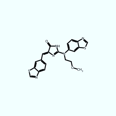 COCCN(C1=NC(=Cc2ccc3ncsc3c2)C(=O)N1)c1ccc2ncsc2c1